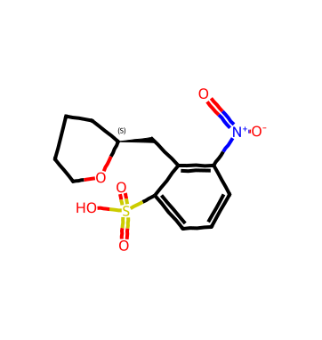 O=[N+]([O-])c1cccc(S(=O)(=O)O)c1C[C@@H]1CCCCO1